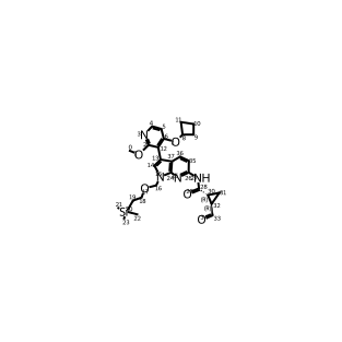 COc1nccc(OC2CCC2)c1-c1cn(COCC[Si](C)(C)C)c2nc(NC(=O)[C@@H]3C[C@H]3C=O)ccc12